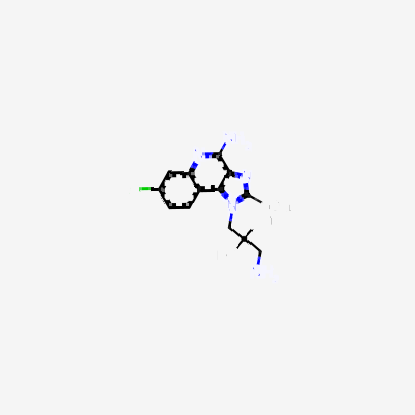 CCCCc1nc2c(N)nc3cc(Cl)ccc3c2n1CC(C)(C)CN